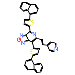 C(=C\c1nc(-c2ccc(-c3cccc4ccccc34)s2)c2nonc2c1-c1ccc(-c2cccc3ccccc23)s1)/c1ccncc1